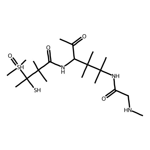 CNCC(=O)NC(C)(C)C(C)(C)C(NC(=O)C(C)(C)C(C)(S)[SH](C)(C)=O)C(C)=O